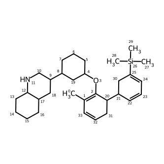 CC1=C(OC2CCCC(C3CNC4CCCCC4C3)C2)C(C2C=CC=C([Si](C)(C)C)C2)CC=C1